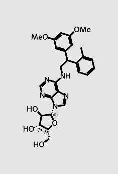 COc1cc(OC)cc(C(CNc2ncnc3c2ncn3[C@@H]2O[C@H](CO)[C@H](O)C2O)c2ccccc2C)c1